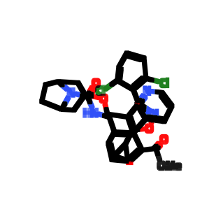 COC(=O)c1cccc(CNC(=O)N2C3CCC2CC(OCc2c(-c4c(Cl)cccc4Cl)noc2C2CC2)C3)c1-c1cccnc1